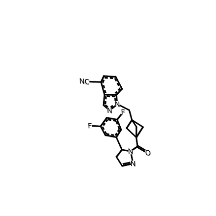 N#Cc1cccc2c1cnn2CC12CC(C(=O)N3N=CCC3c3cc(F)cc(F)c3)(C1)C2